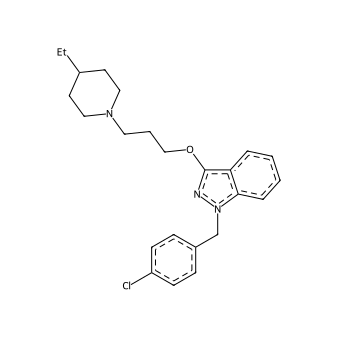 CCC1CCN(CCCOc2nn(Cc3ccc(Cl)cc3)c3ccccc23)CC1